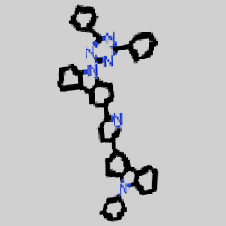 c1ccc(-c2nc(-c3ccccc3)nc(-n3c4ccccc4c4cc(-c5ccc(-c6ccc7c(c6)c6ccccc6n7-c6ccccc6)cn5)ccc43)n2)cc1